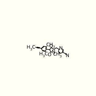 CC#Cc1cc(C)c(C2C(=O)C(Cc3ccc(C#N)cn3)N(C)C2=O)c(C)c1